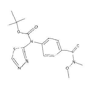 CON(C)C(=O)c1ccc(N(C(=O)OC(C)(C)C)c2nncs2)cc1